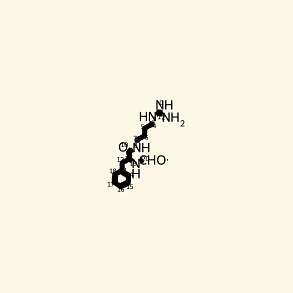 N=C(N)NCCCCNC(=O)C(Cc1ccccc1)N[C]=O